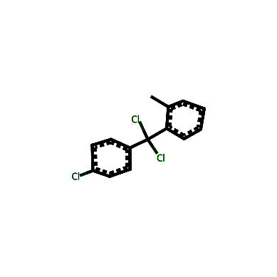 Cc1ccccc1C(Cl)(Cl)c1ccc(Cl)cc1